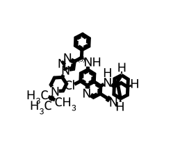 CC(C)(C)N1CCC(n2cc([C@@H](Nc3cc(Cl)c4ncc(C#N)c(NC56C[C@H]7C[C@H](C5)C[C@@H](C6)C7)c4c3)c3ccccc3)nn2)CC1